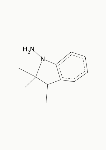 CC1c2ccccc2N(N)C1(C)C